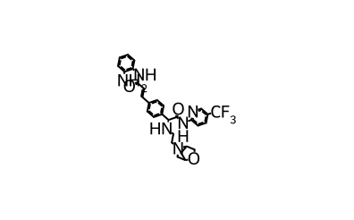 Nc1ccccc1NC(=O)/C=C/c1ccc([C@H](NCCN2CC3CC2CO3)C(=O)Nc2ccc(C(F)(F)F)cn2)cc1